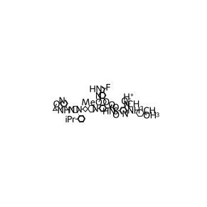 COc1nc2[nH]cc(F)c2cc1Oc1cc(N2CCC3(CC2)CC(N2CCN(Cc4ccnc5c4NC4CC4O5)C[C@H]2c2ccccc2C(C)C)C3)ccc1C(=O)NS(=O)(=O)c1cnc(NC[C@H]2CC[C@](C)(O)CC2)c([NH+](C)[O-])c1